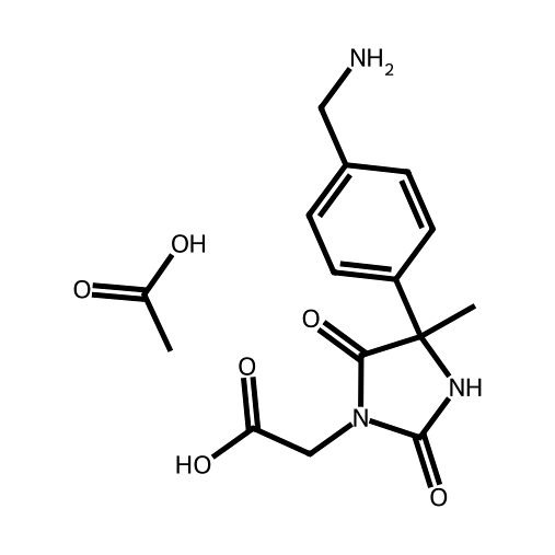 CC(=O)O.CC1(c2ccc(CN)cc2)NC(=O)N(CC(=O)O)C1=O